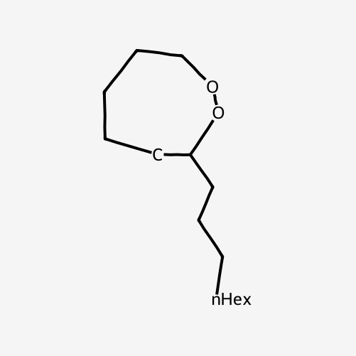 CCCCCCCCCC1CCCCCOO1